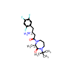 C[C@@H]1C(=O)N(C(C)(C)C)CCCN1C(=O)C[C@H](N)Cc1cc(F)c(F)cc1F